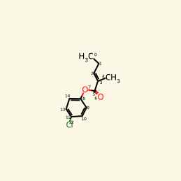 CCC=C(C)C(=O)Oc1ccc(Cl)cc1